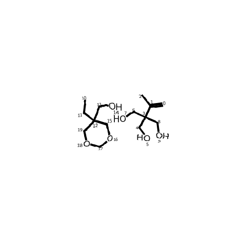 C=C(C)C(CO)(CO)CO.CCC1(CO)COCOC1